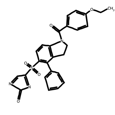 CCOc1ccc(C(=O)N2CCc3c2ccc(S(=O)(=O)C2=NC(=O)N=C2)c3-c2ccccc2)cc1